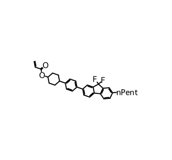 C=CC(=O)OC1CCC(c2ccc(-c3ccc4c(c3)C(F)(F)c3cc(CCCCC)ccc3-4)cc2)CC1